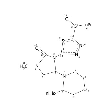 CCCCCCC1COCCN1C1CN(C)C(=O)N1c1nnc([S+]([O-])CCC)s1